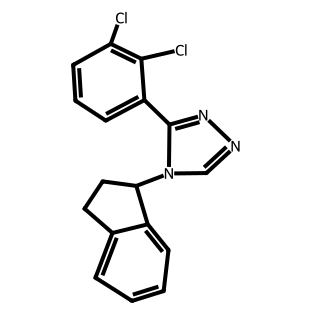 Clc1cccc(-c2nncn2C2CCc3ccccc32)c1Cl